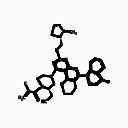 C=C(F)C(=O)N1CCN(c2nc(OC[C@@H]3CCCN3C)nc3cc(-c4ccc(F)c5ccccc45)c4c(c23)OCCC4)C[C@@H]1CC#N